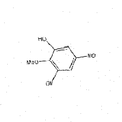 COc1c(O)cc(N=O)cc1N=O